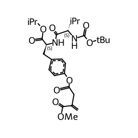 C=C(CC(=O)Oc1ccc(C[C@H](NC(=O)[C@@H](NC(=O)OC(C)(C)C)C(C)C)C(=O)OC(C)C)cc1)C(=O)OC